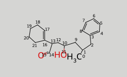 CC(Cc1ccccc1)CC(O)CC(C=O)C1=CCCCC1